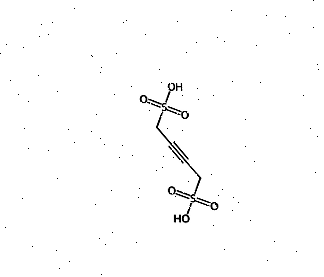 O=S(=O)(O)CC#CCS(=O)(=O)O